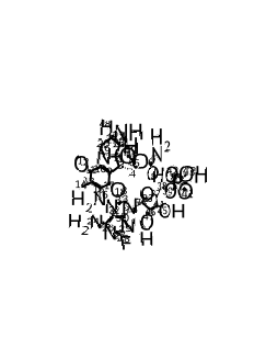 CO[C@@]12[C@H](COC(N)=O)C3=C(C(=O)C(C)=C(N)C3=O)N1C[C@@H]1N[C@@H]12.Nc1nc(F)nc2c1ncn2[C@@H]1O[C@H](COP(=O)(O)O)[C@@H](O)[C@@H]1O